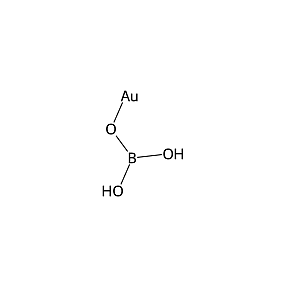 OB(O)[O][Au]